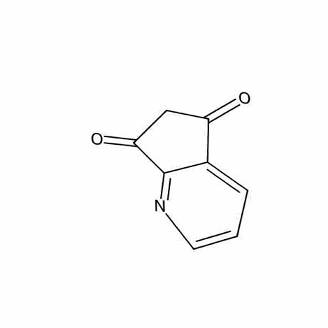 O=C1CC(=O)c2ncccc21